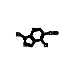 CCn1ncc2c(Cl)c([C]=O)cnc21